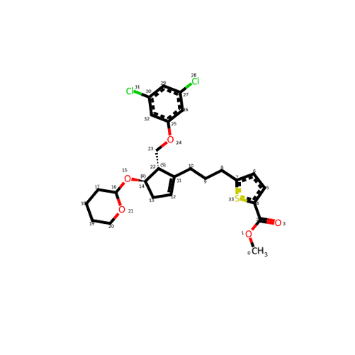 COC(=O)c1ccc(CCCC2=CC[C@@H](OC3CCCCO3)[C@@H]2COc2cc(Cl)cc(Cl)c2)s1